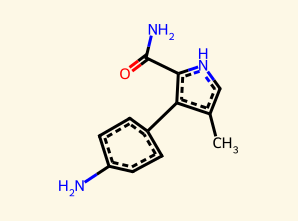 Cc1c[nH]c(C(N)=O)c1-c1ccc(N)cc1